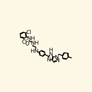 Cc1ccc(Cn2ncc3nc(-c4ccc(NCCNC(=O)Nc5c(Cl)cccc5Cl)cc4)[nH]c32)cc1